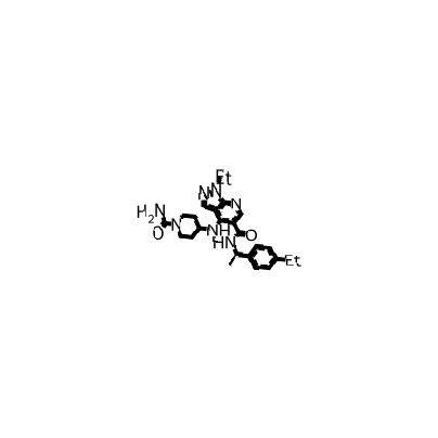 CCc1ccc([C@@H](C)NC(=O)c2cnc3c(cnn3CC)c2NC2CCN(C(N)=O)CC2)cc1